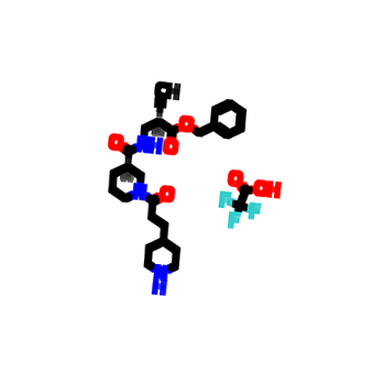 C#C[C@@H](CNC(=O)[C@@H]1CCCN(C(=O)CCC2CCNCC2)C1)C(=O)OCc1ccccc1.O=C(O)C(F)(F)F